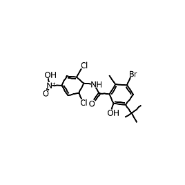 Cc1c(Br)cc(C(C)(C)C)c(O)c1C(=O)NC1C(Cl)=CC([N+](=O)O)=CC1Cl